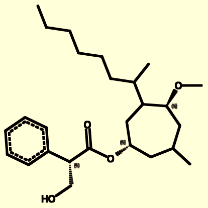 CCCCCCC(C)C1C[C@@H](OC(=O)[C@H](CO)c2ccccc2)CC(C)C[C@@H]1OC